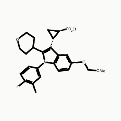 CCOC(=O)[C@@H]1C[C@H]1c1c(C2CCOCC2)n(-c2ccc(F)c(C)c2)c2ccc(OCOC)cc12